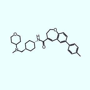 Cc1ccc(-c2ccc3c(c2)C=C(C(=O)N[C@H]2CC[C@H](CN(C)C4CCOCC4)CC2)CCO3)cc1